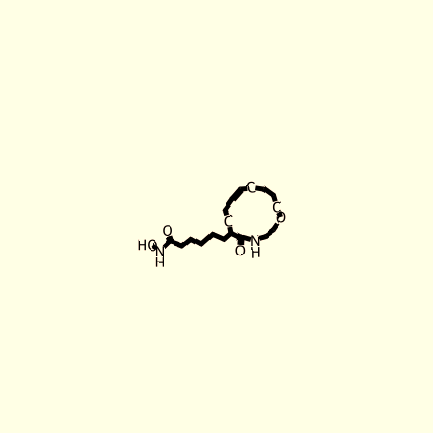 O=C(CCCCCC1CC/C=C\CCCCOCCNC1=O)NO